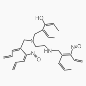 C=C/C=C(CN(CCNCC(/C=C\C)=C(/C=C)N=O)CC(=C/C)/C(O)=C\C)\C(=C/C=C)N=O